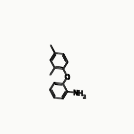 Cc1ccc(Oc2ccccc2N)c(C)c1